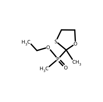 CCOP(C)(=O)C1(C)OCCS1